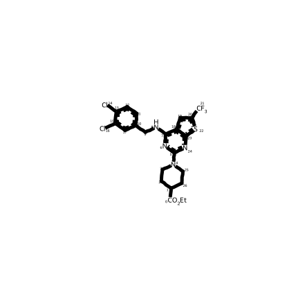 CCOC(=O)C1CCN(c2nc(NCc3ccc(Cl)c(Cl)c3)c3cc(C(F)(F)F)sc3n2)CC1